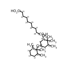 CC1CCCN(C)C1(C)C.CC1CCCN(C)C1(C)C.O=C(O)CCCCCCCCC(=O)O